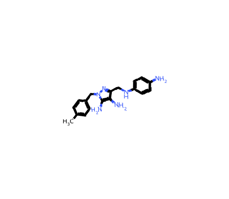 Cc1ccc(Cn2nc(CNc3ccc(N)cc3)c(N)c2N)cc1